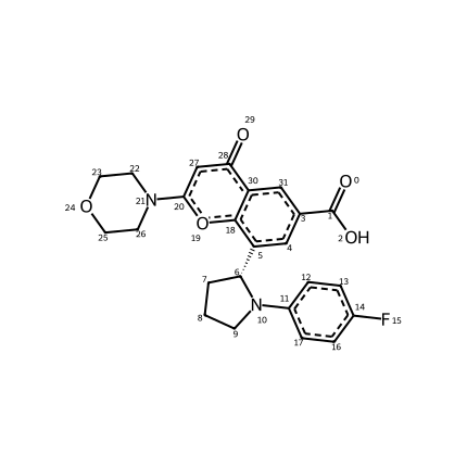 O=C(O)c1cc([C@H]2CCCN2c2ccc(F)cc2)c2oc(N3CCOCC3)cc(=O)c2c1